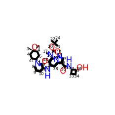 CO[C@]1(C)CC[C@@H](n2cccc(Nc3cc(N(C)C(=O)OC(C)(C)C)n4ncc(C(=O)NC5CCC5O)c4c3)c2=O)CC1